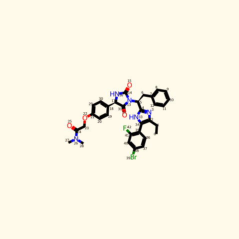 CCc1nc([C@H](Cc2ccccc2)N2C(=O)N[C@H](c3ccc(OCC(=O)N(C)C)cc3)C2=O)[nH]c1-c1ccc(Br)cc1F